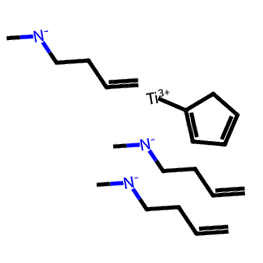 C=CCC[N-]C.C=CCC[N-]C.C=CCC[N-]C.[Ti+3][C]1=CC=CC1